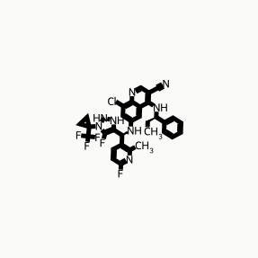 CC[C@@H](Nc1c(C#N)cnc2c(Cl)cc(N[C@H](C3=C(F)N(C4(C(F)(F)F)CC4)NN3)c3ccc(F)nc3C)cc12)c1ccccc1